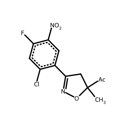 CC(=O)C1(C)CC(c2cc([N+](=O)[O-])c(F)cc2Cl)=NO1